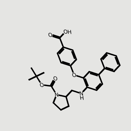 CC(C)(C)OC(=O)N1CCCC1CNc1ccc(-c2ccccc2)cc1Oc1ccc(C(=O)O)cc1